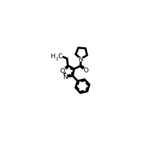 CCc1onc(-c2ccccc2)c1C(=O)N1CCCC1